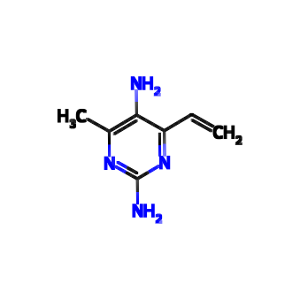 C=Cc1nc(N)nc(C)c1N